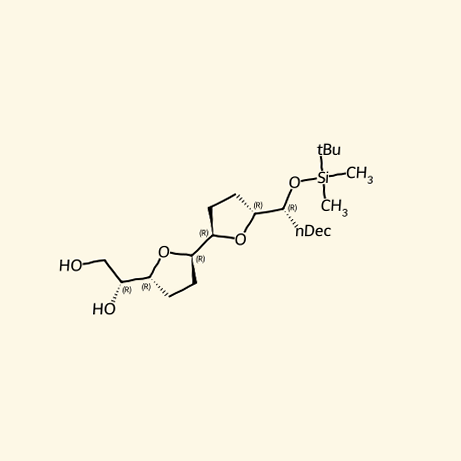 CCCCCCCCCC[C@@H](O[Si](C)(C)C(C)(C)C)[C@H]1CC[C@H]([C@H]2CC[C@H]([C@H](O)CO)O2)O1